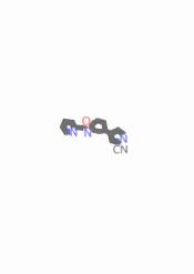 N#Cc1cc(C2CCc3oc(-c4ccccn4)nc3C2)ccn1